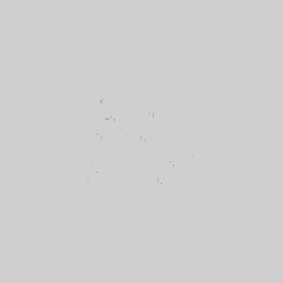 CCCSN1CCNCC1CCc1c(F)cncc1NC(=O)CC(c1ccc(Cl)cc1)c1cnc(OC(C)C)cn1